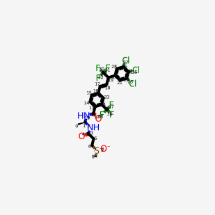 C[C@H](NC(=O)CC[S+](C)[O-])NC(=O)c1ccc(C=CC(c2cc(Cl)c(Cl)c(Cl)c2)C(F)(F)F)cc1C(F)(F)F